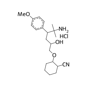 COc1ccc(C(CC(O)COC2CCCCC2C#N)C(C)(C)N)cc1.Cl